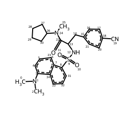 CN(C)c1cccc2c(S(=O)(=O)NC(Cc3ccc(C#N)cc3)C(=O)N(C)C3CCCC3)cccc12